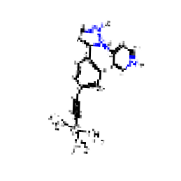 C[Si](C)(C)C#Cc1ccc(-c2ccnn2-c2ccncc2)cc1